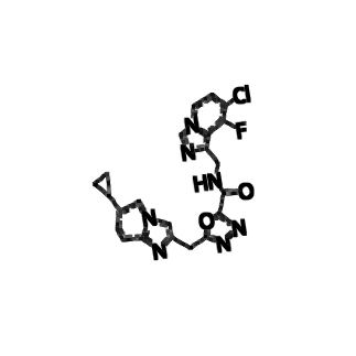 O=C(NCc1ncn2ccc(Cl)c(F)c12)c1nnc(Cc2cn3cc(C4CC4)ccc3n2)o1